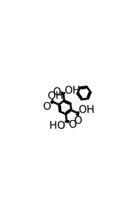 O=C(O)c1cc(C(=O)O)c(C(=O)O)cc1C(=O)O.c1ccccc1